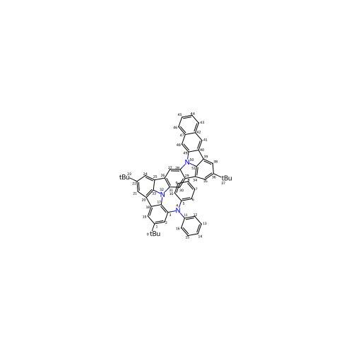 CC(C)(C)c1cc(N(c2ccccc2)c2ccccc2)c2c(c1)c1cc(C(C)(C)C)cc3c4cc5c(cc4n2c31)c1cc(C(C)(C)C)cc2c3cc4ccccc4cc3n5c21